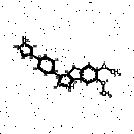 COc1cc2c(cc1OC)-c1[nH]nc(-c3ccc(-c4cn[nH]c4)cc3)c1C2